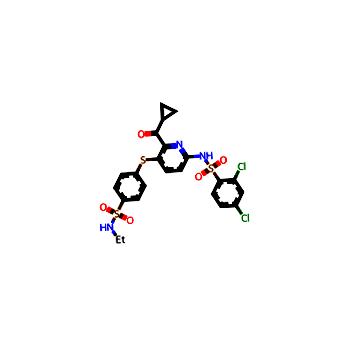 CCNS(=O)(=O)c1ccc(Sc2ccc(NS(=O)(=O)c3ccc(Cl)cc3Cl)nc2C(=O)C2CC2)cc1